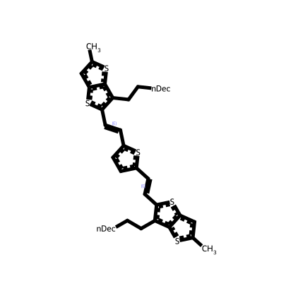 CCCCCCCCCCCCc1c(/C=C/c2ccc(/C=C/c3sc4cc(C)sc4c3CCCCCCCCCCCC)s2)sc2cc(C)sc12